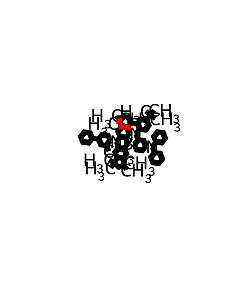 Cc1cc(-c2ccccc2)ccc1N1c2cc3c(cc2B2c4ccc(N(c5ccccc5)c5ccccc5)cc4N(c4ccc(C(C)(C)C)cc4-c4ccccc4)c4cc(C(C)(C)C)cc1c42)C(C)(C)CC3(C)C